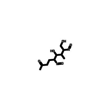 CC(=O)CCC(N=O)C(O)C(C)C(CO)N=O